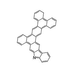 C1=CCc2c(c3cc4c5ccccc5c5cc6c(cc5c4cc3c3ccccc23)=c2ccccc2=N6)=C1